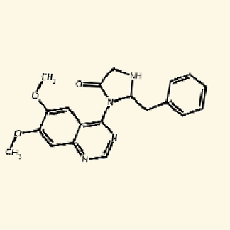 COc1cc2ncnc(N3C(=O)CNC3Cc3ccccc3)c2cc1OC